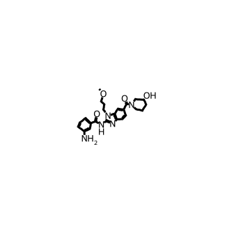 COCCCn1c(NC(=O)c2cccc(N)c2)nc2ccc(C(=O)N3CCC[C@H](O)C3)cc21